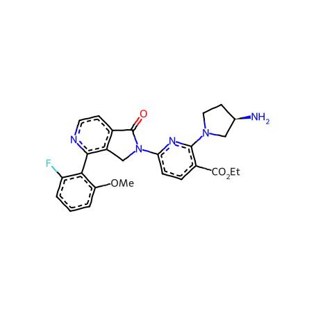 CCOC(=O)c1ccc(N2Cc3c(ccnc3-c3c(F)cccc3OC)C2=O)nc1N1CC[C@@H](N)C1